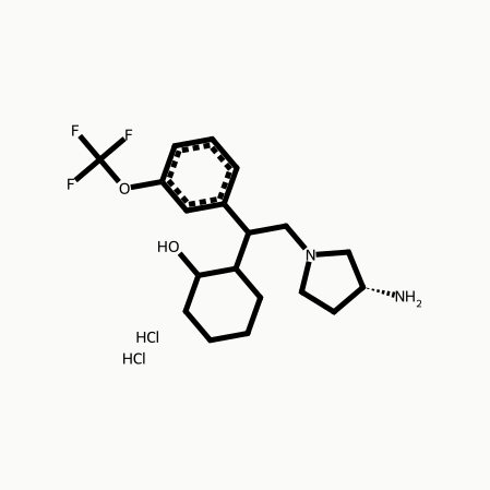 Cl.Cl.N[C@@H]1CCN(CC(c2cccc(OC(F)(F)F)c2)C2CCCCC2O)C1